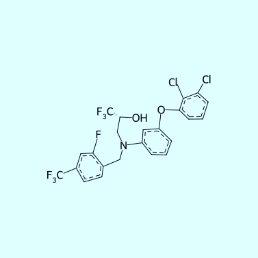 O[C@H](CN(Cc1ccc(C(F)(F)F)cc1F)c1cccc(Oc2cccc(Cl)c2Cl)c1)C(F)(F)F